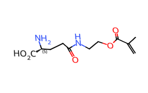 C=C(C)C(=O)OCCNC(=O)CC[C@H](N)C(=O)O